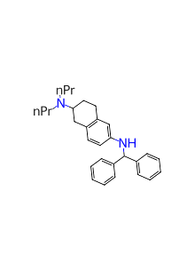 CCCN(CCC)C1CCc2cc(NC(c3ccccc3)c3ccccc3)ccc2C1